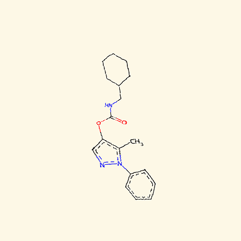 Cc1c(OC(=O)NCC2CCCCC2)cnn1-c1ccccc1